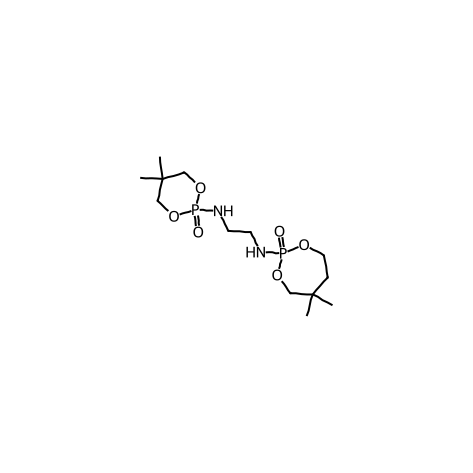 CC1(C)CCOP(=O)(NCCNP2(=O)OCC(C)(C)CO2)OC1